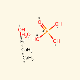 CCO.O.O=P(O)(O)O.[CaH2].[CaH2]